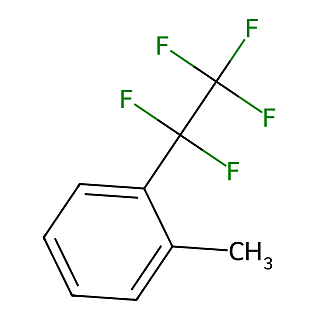 Cc1ccccc1C(F)(F)C(F)(F)F